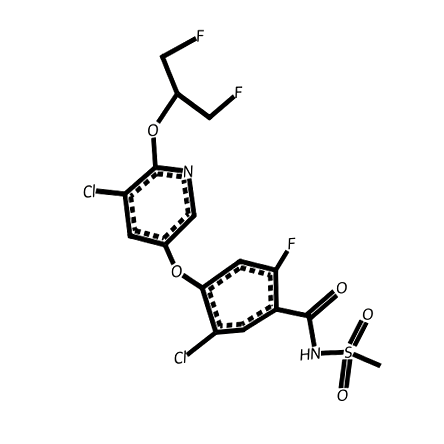 CS(=O)(=O)NC(=O)c1cc(Cl)c(Oc2cnc(OC(CF)CF)c(Cl)c2)cc1F